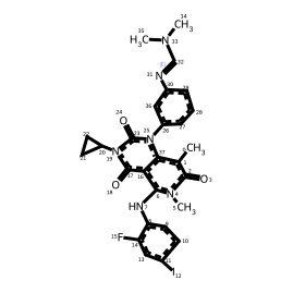 Cc1c(=O)n(C)c(Nc2ccc(I)cc2F)c2c(=O)n(C3CC3)c(=O)n(-c3cccc(/N=C/N(C)C)c3)c12